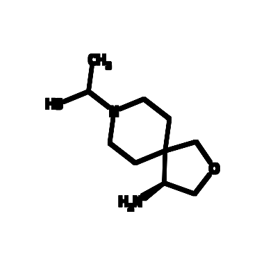 CC(S)N1CCC2(CC1)COC[C@H]2N